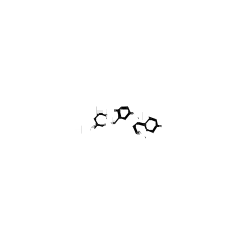 CC1CCCN(Cc2cc(Nc3ccnc4cc(Cl)ccc34)ccc2O)C1